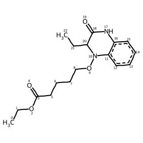 CCOC(=O)CCCCON1c2ccccc2NC(=O)C1CC